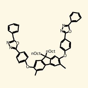 CCCCCCCCC1(CCCCCCCC)c2cc(Oc3ccc(-c4nnc(-c5ccccc5)o4)cc3)c(C)cc2-c2cc(C)c(Oc3ccc(-c4nnc(-c5ccccc5)o4)cc3)cc21